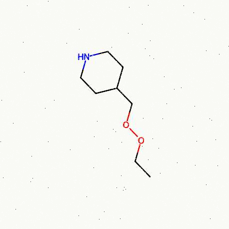 CCOOCC1CCNCC1